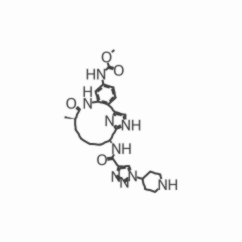 COC(=O)Nc1ccc2c(c1)NC(=O)[C@H](C)CCCC[C@H](NC(=O)c1cn(C3CCNCC3)nn1)c1nc-2c[nH]1